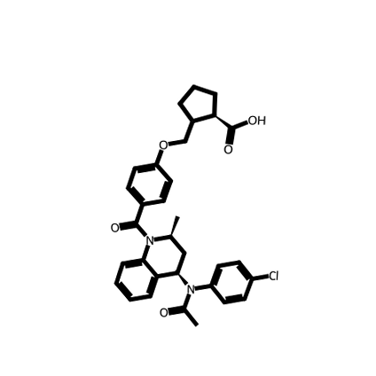 CC(=O)N(c1ccc(Cl)cc1)[C@@H]1C[C@H](C)N(C(=O)c2ccc(OCC3CCC[C@H]3C(=O)O)cc2)c2ccccc21